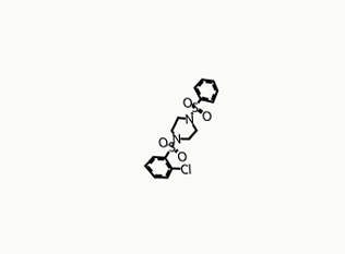 O=S(=O)(c1ccccc1)N1CCN(S(=O)(=O)c2ccccc2Cl)CC1